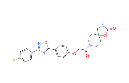 O=C1NCC2(CCN(C(=O)COc3ccc(-c4nc(-c5ccc(F)cc5)no4)cc3)CC2)O1